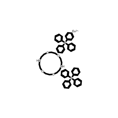 C1COCCOCCNCCOCCOCCN1.[Eu+2].c1ccc([B-](c2ccccc2)(c2ccccc2)c2ccccc2)cc1.c1ccc([B-](c2ccccc2)(c2ccccc2)c2ccccc2)cc1